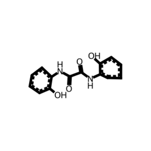 O=C(Nc1ccccc1O)C(=O)Nc1ccccc1O